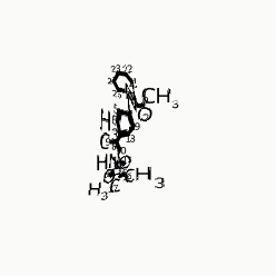 CC(=O)N(c1ccc(C(C)CNS(=O)(=O)C(C)C)cc1)N1CCCCC1